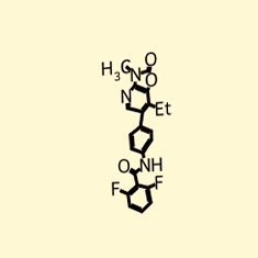 CCc1c(-c2ccc(NC(=O)c3c(F)cccc3F)cc2)cnc2c1oc(=O)n2C